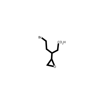 O=C(O)CC(CCBr)C1CO1